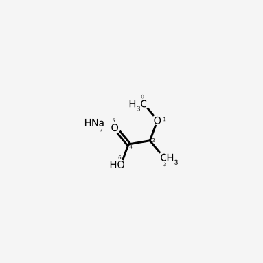 COC(C)C(=O)O.[NaH]